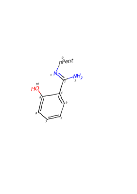 CCCCCN=C(N)c1ccccc1O